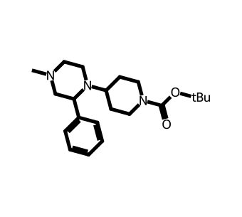 CN1CCN(C2CCN(C(=O)OC(C)(C)C)CC2)C(c2ccccc2)C1